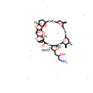 C=C1CC2CCC34CC[C@H]5OC6C(O3)C3OC(CC[C@@H]3OC6C5O4)CC(=O)CC3[C@@H](OC)C(CC(O)CN)O[C@H]3CC3OC(CCC1O2)C[C@@H](C)C3=C